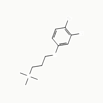 C[Si](C)(C)CCCOc1ccc(Br)c(Cl)c1